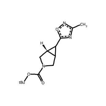 Cc1noc(C2C3CN(C(=O)OC(C)(C)C)C[C@@H]32)n1